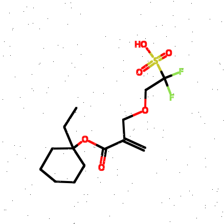 C=C(COCC(F)(F)S(=O)(=O)O)C(=O)OC1(CC)CCCCC1